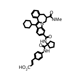 CNC(=O)C1Cc2ccccc2-c2c(C3CCCCC3)c3ccc(C(=O)NC4(C(=O)Nc5ccc(/C=C/C(=O)O)cc5)CCCC4)cc3n2C1